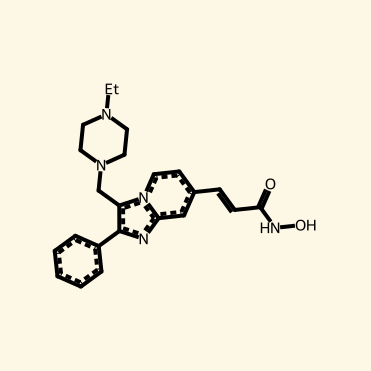 CCN1CCN(Cc2c(-c3ccccc3)nc3cc(C=CC(=O)NO)ccn23)CC1